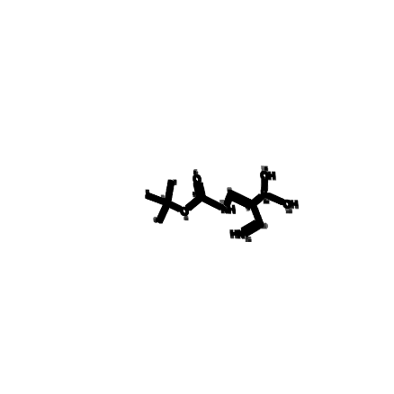 CC(C)(C)OC(=O)N/C=C(\C=N)B(O)O